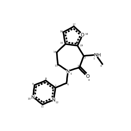 CNC1C(=O)N(Cc2ccncn2)CCc2ccoc21